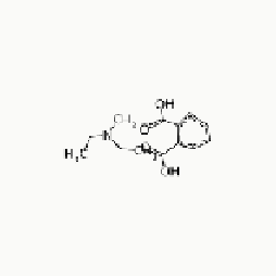 CCN(C)CC.O=C(O)c1ccccc1C(=O)O